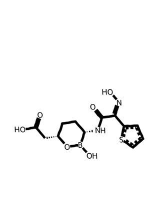 O=C(O)C[C@@H]1CC[C@H](NC(=O)/C(=N\O)c2cccs2)B(O)O1